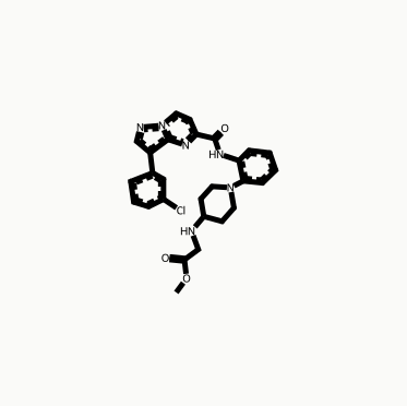 COC(=O)CNC1CCN(c2ccccc2NC(=O)c2ccn3ncc(-c4cccc(Cl)c4)c3n2)CC1